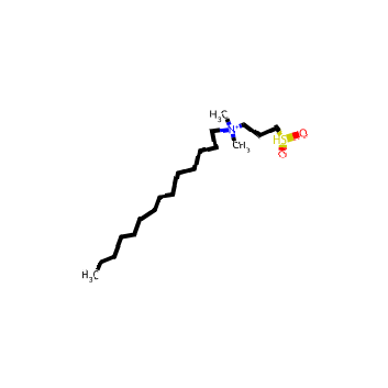 CCCCCCCCCCCCCC[N+](C)(C)CCC[SH](=O)=O